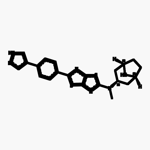 CN(c1nc2sc(-c3ccc(-c4cn[nH]c4)cc3)nc2s1)[C@@H]1C[C@H]2CC[C@@H](C1)N2